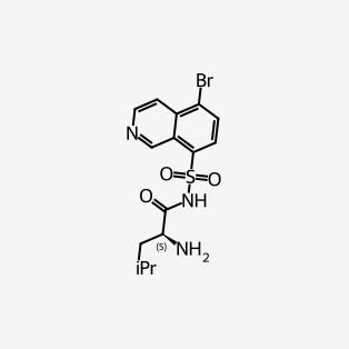 CC(C)C[C@H](N)C(=O)NS(=O)(=O)c1ccc(Br)c2ccncc12